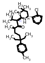 C=C(CCC(CC)(CC)c1ccc(C)cc1)C(=O)/C(=C1\N[C@@H](c2ccccc2Cl)CC(C)(C)N1C)C(C)C